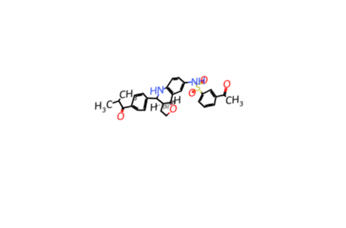 CC(=O)c1cccc(S(=O)(=O)Nc2ccc3c(c2)[C@H]2OCC[C@H]2C(c2ccc(C(=O)C(C)C)cc2)N3)c1